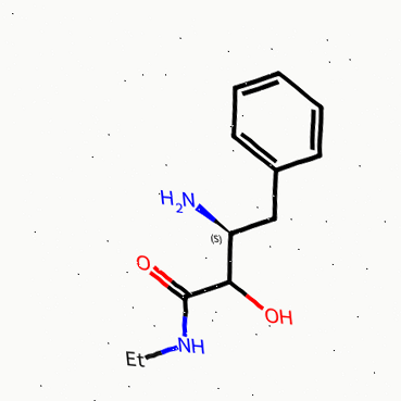 CCNC(=O)C(O)[C@@H](N)Cc1ccccc1